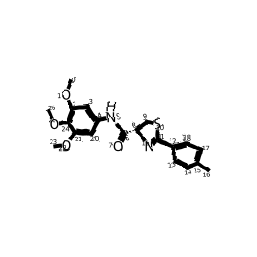 COc1cc(NC(=O)[C@@H]2CSC(c3ccc(C)cc3)=N2)cc(OC)c1OC